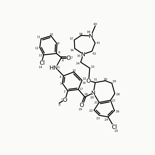 COc1cc(NC(=O)c2ccccc2Cl)ccc1C(=O)N1c2ccc(Cl)cc2CCCC1OCCN1CCCN(C)CC1